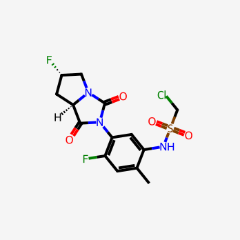 Cc1cc(F)c(N2C(=O)[C@H]3C[C@H](F)CN3C2=O)cc1NS(=O)(=O)CCl